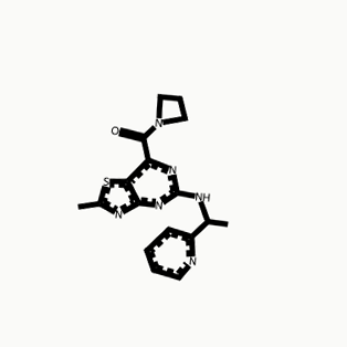 Cc1nc2nc(NC(C)c3ccccn3)nc(C(=O)N3CCC3)c2s1